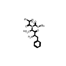 CC(C)C(N)C(=O)N(C(=O)OC(C)(C)C)C(C(=O)O)C(=O)C(N)Cc1ccccc1